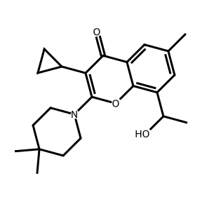 Cc1cc(C(C)O)c2oc(N3CCC(C)(C)CC3)c(C3CC3)c(=O)c2c1